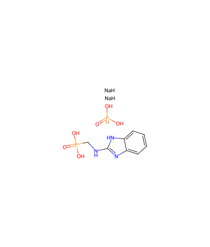 O=P(O)(O)CNc1nc2ccccc2[nH]1.O=[PH](O)O.[NaH].[NaH]